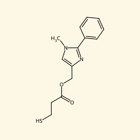 Cn1cc(COC(=O)CCS)nc1-c1ccccc1